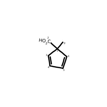 CC1(C(=O)O)C=CC=C1